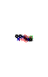 N#Cc1ccccc1-c1ccc(CNC(=O)[C@H](O)[C@@H](O)C(=O)N2Cc3cccc(Cl)c3C2)cc1